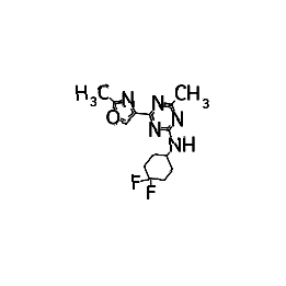 Cc1nc(NC2CCC(F)(F)CC2)nc(-c2coc(C)n2)n1